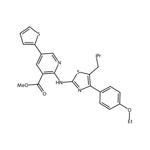 CCOc1ccc(-c2nc(Nc3ncc(-c4cccs4)cc3C(=O)OC)sc2CC(C)C)cc1